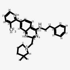 CC1(C)CCCN(Cc2nc(NCCc3ccccc3)c3ccc(-c4ncccc4C(F)(F)F)cc3n2)C1